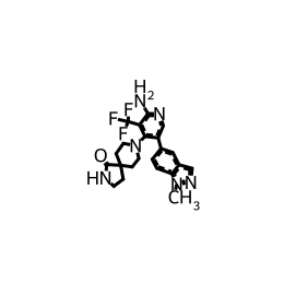 Cn1ncc2cc(-c3cnc(N)c(C(F)(F)F)c3N3CCC4(CCNC4=O)CC3)ccc21